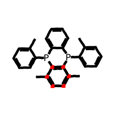 Cc1ccccc1P(c1ccccc1C)c1ccccc1P(c1ccccc1C)c1ccccc1C